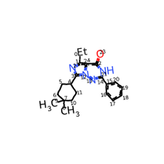 CCc1nc(C2CCC(C)(C)CC2)n2nc(-c3ccccc3)[nH]c(=O)c12